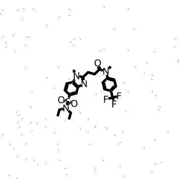 CCN(CC)S(=O)(=O)c1ccc2c(c1)nc(CCC(=O)N(C)c1ccc(C(F)(F)F)cc1)n2C